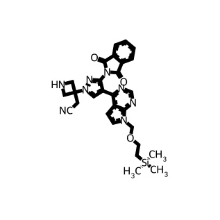 C[Si](C)(C)CCOCn1ccc2c(-c3cn(C4(CC#N)CNC4)nc3N3C(=O)c4ccccc4C3=O)ncnc21